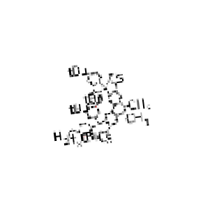 C=C(/C=C\C(=C/C)C1(c2ccc(C(C)(C)C)cc2)c2cc3c(cc2-c2sccc21)c(C)c(C)c1cc2c(cc13)C(c1ccc(C(C)(C)C)cc1)(c1ccc(C(C)(C)C)cc1)c1ccsc1-2)C(C)(C)C